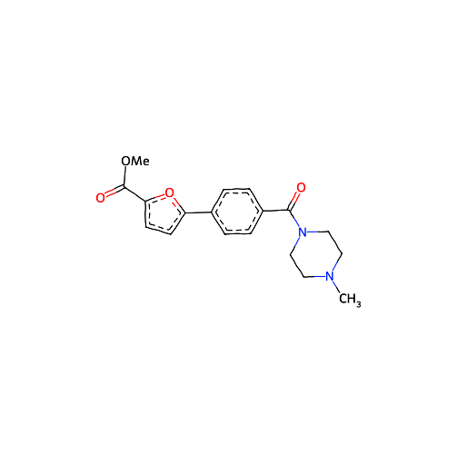 COC(=O)c1ccc(-c2ccc(C(=O)N3CCN(C)CC3)cc2)o1